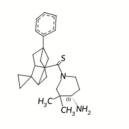 CC1(C)CN(C(=S)C23CC4CC(c5ccccc5)(CC2C42CC2)C3)CC[C@@H]1N